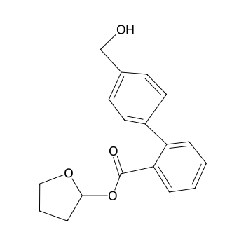 O=C(OC1CCCO1)c1ccccc1-c1ccc(CO)cc1